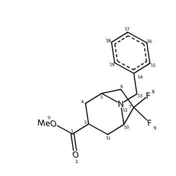 COC(=O)C1CC2CC(F)(F)C(C1)N2Cc1ccccc1